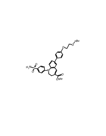 CCCCOCCOc1ccc(-c2ccc3c(c2)C=C(C(=O)OC)CCN3c2ccc(S(N)(=O)=O)cc2)cc1